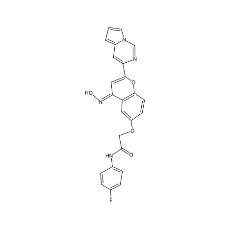 O=C(COc1ccc2oc(-c3cc4cccn4cn3)c/c(=N\O)c2c1)Nc1ccc(F)cc1